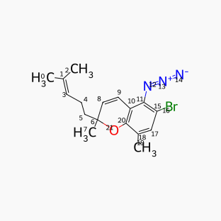 CC(C)=CCCC1(C)C=Cc2c(N=[N+]=[N-])c(Br)cc(C)c2O1